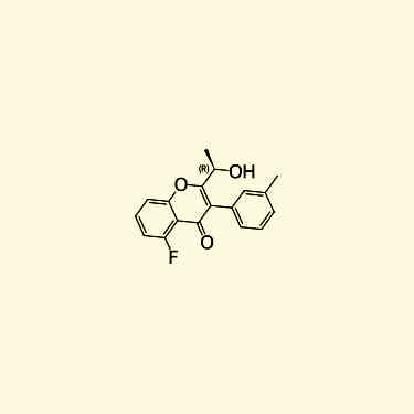 Cc1cccc(-c2c([C@@H](C)O)oc3cccc(F)c3c2=O)c1